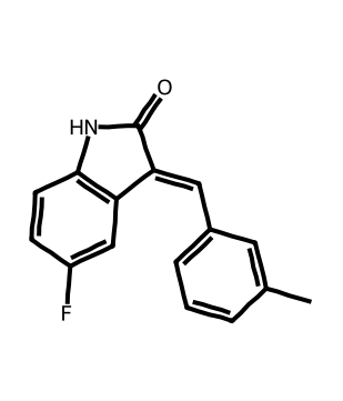 Cc1cccc(/C=C2/C(=O)Nc3ccc(F)cc32)c1